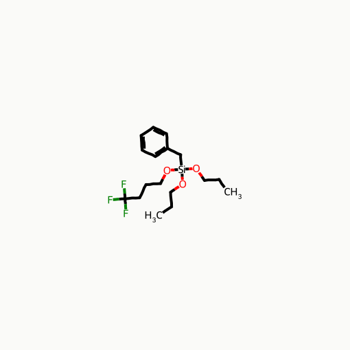 CCCO[Si](Cc1ccccc1)(OCCC)OCCCC(F)(F)F